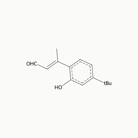 CC(=CC=O)c1ccc(C(C)(C)C)cc1O